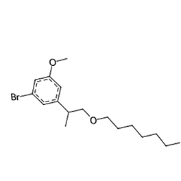 CCCCCCCOCC(C)c1cc(Br)cc(OC)c1